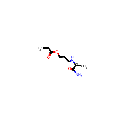 C=CC(=O)OCCCN[C@@H](C)C(N)=O